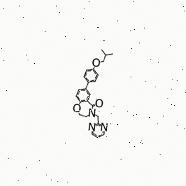 CC(C)COc1ccc(-c2ccc3c(c2)C(=O)N(Cc2ncccn2)CCO3)cc1